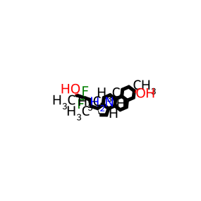 C[C@H](CC(F)(F)[C@@H](C)O)[C@H]1CC[C@H]2[C@@H]3CC=C4C[C@@](C)(O)CC[C@]4(C)[C@@]3(N)CC[C@]12C